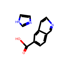 O=C(O)c1ccc2cnccc2c1.c1c[nH]cn1